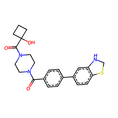 O=C(c1ccc(-c2ccc3c(c2)NCS3)cc1)N1CCN(C(=O)C2(O)CCC2)CC1